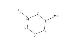 FC1CCCC(F)C1